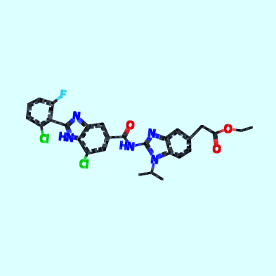 CCOC(=O)Cc1ccc2c(c1)nc(NC(=O)c1cc(Cl)c3[nH]c(-c4c(F)cccc4Cl)nc3c1)n2C(C)C